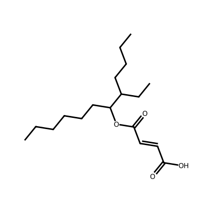 CCCCCCC(OC(=O)C=CC(=O)O)C(CC)CCCC